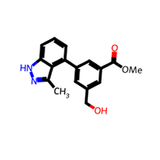 COC(=O)c1cc(CO)cc(-c2cccc3[nH]nc(C)c23)c1